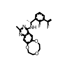 C=C(F)c1cccc([C@@H](C)Nc2nc(C)nc3cc4c(cc23)OCCOCCO4)c1F